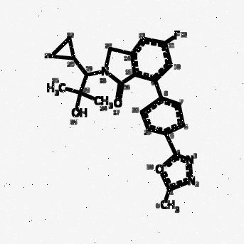 Cc1nnc(-c2ccc(-c3cc(F)cc4c3C(=O)N(C(C3CC3)C(C)(C)O)C4)cc2)o1